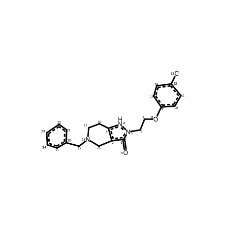 O=c1c2c([nH]n1CCOc1ccc(Cl)cc1)CCN(Cc1ccccc1)C2